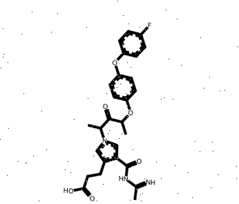 CC(=N)NC(=O)c1cn(C(C)C(=O)C(C)Oc2ccc(Oc3ccc(F)cc3)cc2)cc1CCC(=O)O